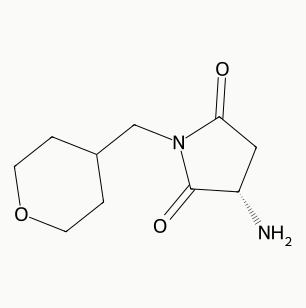 N[C@H]1CC(=O)N(CC2CCOCC2)C1=O